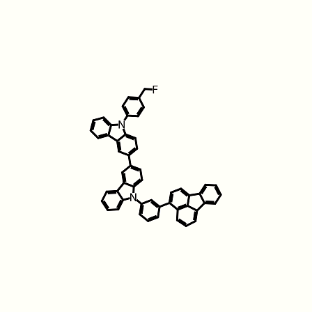 FCc1ccc(-n2c3ccccc3c3cc(-c4ccc5c(c4)c4ccccc4n5-c4cccc(-c5ccc6c7c(cccc57)-c5ccccc5-6)c4)ccc32)cc1